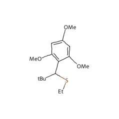 CCSC(c1c(OC)cc(OC)cc1OC)C(C)(C)C